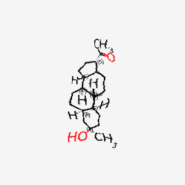 CC(=O)[C@H]1CC[C@@H]2C1CC[C@H]1[C@H]2CC[C@@H]2C[C@](C)(O)CC[C@@H]21